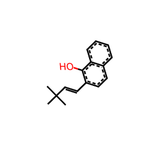 CC(C)(C)C=Cc1ccc2ccccc2c1O